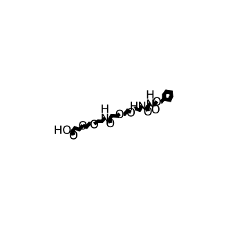 O=C(O)CCOCCOCCNC(=O)CCOCCOCCNC(=O)NC(=O)OCc1ccccc1